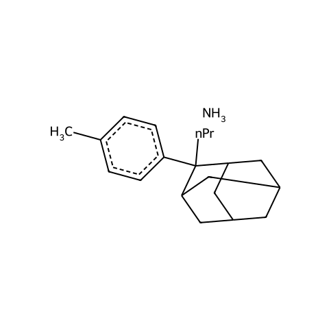 CCCC1(c2ccc(C)cc2)C2CC3CC(C2)CC1C3.N